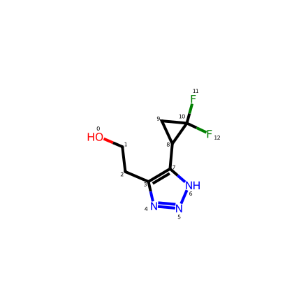 OCCc1nn[nH]c1C1CC1(F)F